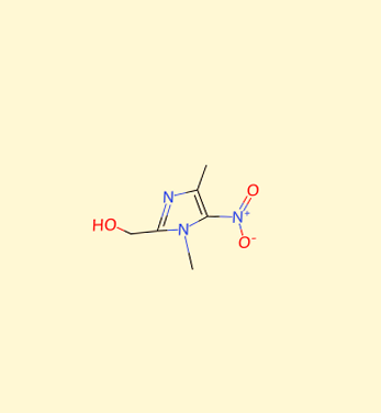 Cc1nc(CO)n(C)c1[N+](=O)[O-]